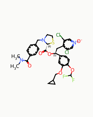 CN(C)C(=O)c1ccc(CN2CCS[C@@H]2C(=O)O[C@@H](Cc2c(Cl)c[n+]([O-])cc2Cl)c2ccc(OC(F)F)c(OCC3CC3)c2)cc1